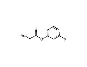 CC(=O)CC(=O)Oc1cccc(F)c1